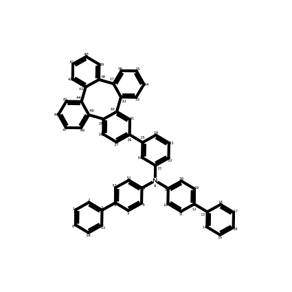 c1ccc(-c2ccc(N(c3ccc(-c4ccccc4)cc3)c3cccc(-c4ccc5c(c4)-c4ccccc4-c4ccccc4-c4ccccc4-5)c3)cc2)cc1